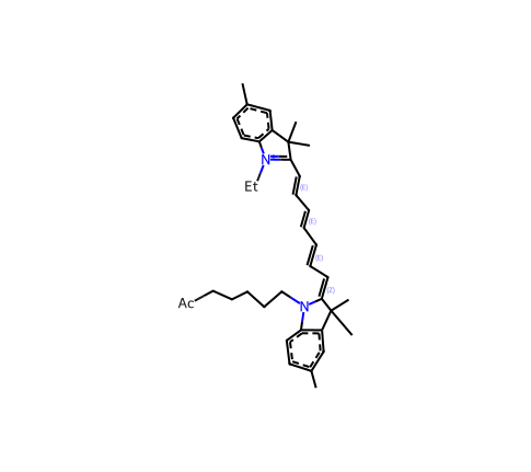 CC[N+]1=C(/C=C/C=C/C=C/C=C2\N(CCCCCC(C)=O)c3ccc(C)cc3C2(C)C)C(C)(C)c2cc(C)ccc21